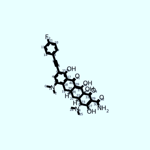 CN(C)c1cc(C#Cc2ccc(F)cc2)c(O)c2c1C[C@H]1C[C@@H]3[C@@H](N(C)C)C(O)=C(C(N)=O)C(=O)[C@]3(O)C(O)=C1C2=O